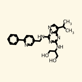 CC(C)c1cnn2c(NCc3ccc(-c4ccccc4)nc3)nc(NC(CO)CO)nc12